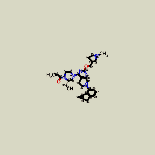 C=CC(=O)N1CCN(c2nc(OCC3CCN(C)C3)nc3c2CCN(c2cccc4c2C2CC2C4)C3)C[C@@H]1CC#N